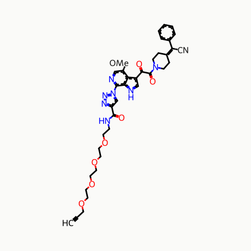 C#CCOCCOCCOCCOCCNC(=O)c1cn(-c2ncc(OC)c3c(C(=O)C(=O)N4CCC(=C(C#N)c5ccccc5)CC4)c[nH]c23)nn1